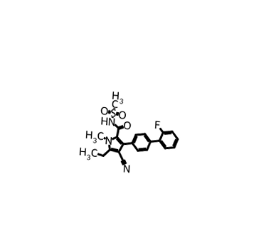 CCc1c(C#N)c(-c2ccc(-c3ccccc3F)cc2)c(C(=O)NS(C)(=O)=O)n1C